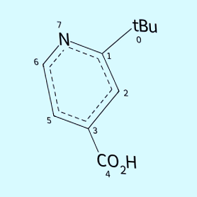 CC(C)(C)c1cc(C(=O)O)ccn1